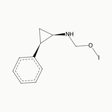 IOCN[C@@H]1C[C@@H]1c1ccccc1